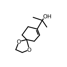 CC(C)(O)C1=CCC2(CC1)OCCO2